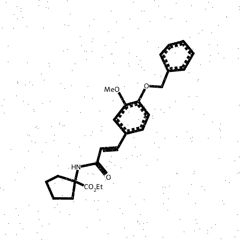 CCOC(=O)C1(NC(=O)C=Cc2ccc(OCc3ccccc3)c(OC)c2)CCCC1